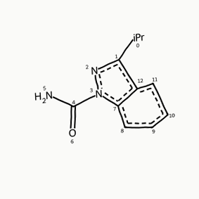 CC(C)c1nn(C(N)=O)c2ccccc12